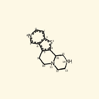 c1cc2sc3c(c2cn1)CCN1CCNCC31